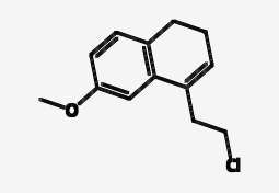 COc1ccc2c(c1)C(CCCl)=CCC2